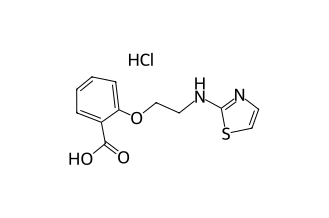 Cl.O=C(O)c1ccccc1OCCNc1nccs1